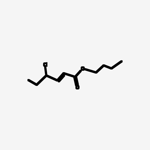 CCCCOC(=O)C=CC(Cl)CC